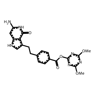 COc1nc(OC)nc(OC(=O)c2ccc(CCc3c[nH]c4cc(N)[nH]c(=O)c34)cc2)n1